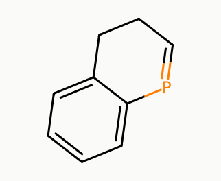 C1=Pc2ccccc2CC1